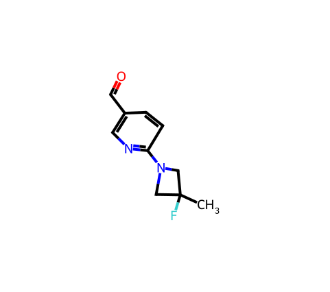 CC1(F)CN(c2ccc(C=O)cn2)C1